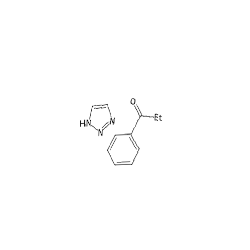 CCC(=O)c1ccccc1.c1c[nH]nn1